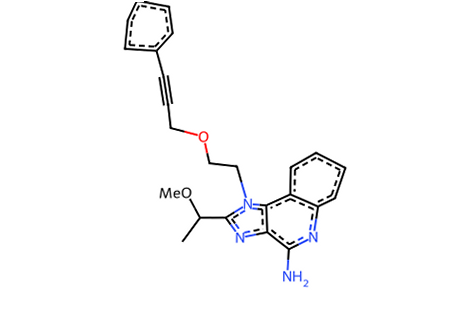 COC(C)c1nc2c(N)nc3ccccc3c2n1CCOCC#Cc1ccccc1